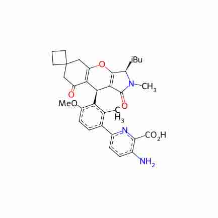 CCC(C)[C@@H]1C2=C(C(=O)N1C)[C@@H](c1c(OC)ccc(-c3ccc(N)c(C(=O)O)n3)c1C)C1=C(CC3(CCC3)CC1=O)O2